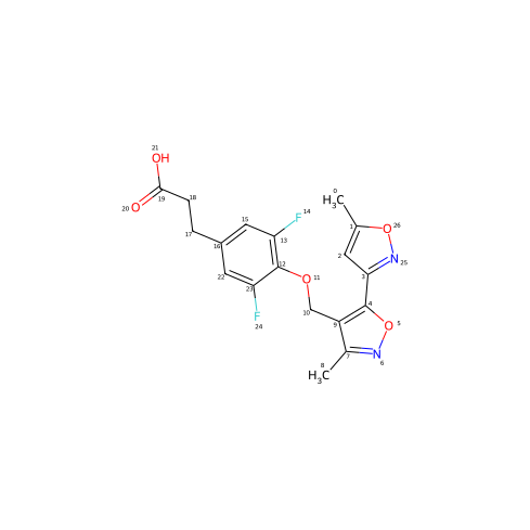 Cc1cc(-c2onc(C)c2COc2c(F)cc(CCC(=O)O)cc2F)no1